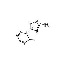 CC1C=CC=CC1[C@@H]1COC(N)=N1